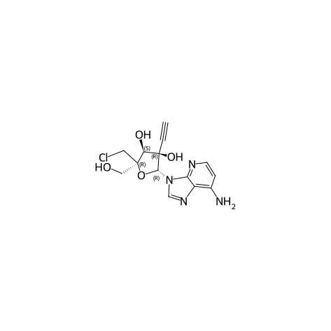 C#C[C@@]1(O)[C@H](O)[C@](CO)(CCl)O[C@H]1n1cnc2c(N)ccnc21